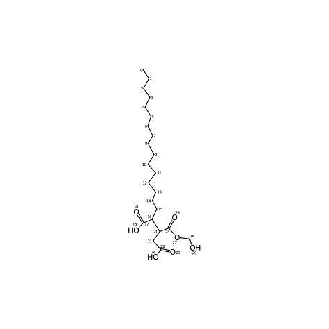 CCCCCCCCCCCCCCCCC(C(=O)O)C(CC(=O)O)C(=O)OCO